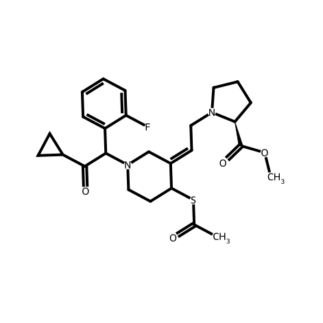 COC(=O)[C@@H]1CCCN1C/C=C1\CN(C(C(=O)C2CC2)c2ccccc2F)CCC1SC(C)=O